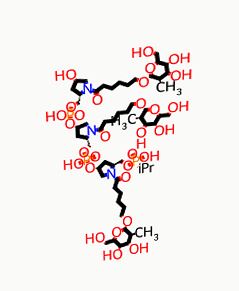 CC(C)P(=O)(O)OC[C@@H]1C[C@@H](OP(=O)(O)OC[C@@H]2C[C@@H](OP(=O)(O)OC[C@@H]3CC(O)CN3C(=O)CCCCCO[C@@H]3OC(CO)[C@H](O)C(O)[C@@H]3C)CN2C(=O)CCCCCO[C@@H]2OC(CO)[C@H](O)C(O)[C@@H]2C)CN1C(=O)CCCCCO[C@@H]1OC(CO)[C@H](O)C(O)[C@@H]1C